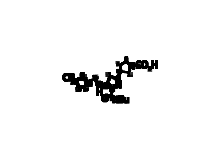 CC(C)(C)C(=O)n1nc(C2CCN(C(=O)O)C2)cc1NCc1ccc(Cl)s1